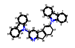 C1=C(n2c3ccccc3c3ccccc32)CCC2=C1c1cc(-n3c4ccccc4c4ccccc43)cnc1C2